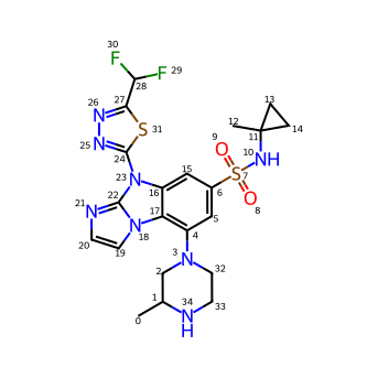 CC1CN(c2cc(S(=O)(=O)NC3(C)CC3)cc3c2n2ccnc2n3-c2nnc(C(F)F)s2)CCN1